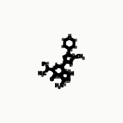 CC(C)C(C)n1cc(-c2cc(N3CCOCC3)n(C)n2)c2[nH]nc(N)c2c1=O